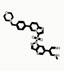 CN/C=C(\C=N)c1cnc2cnn(S(=O)(=O)c3cnc4ccc(-c5ccc(CN6CCOCC6)cc5)cn34)c2c1